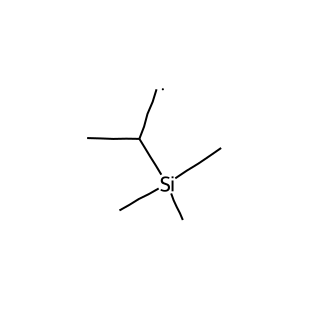 [CH2]C(C)[Si](C)(C)C